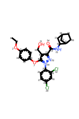 CCOc1ccc(Oc2c(CO)c(C(=O)NC3CC4CCC3C4)nn2-c2ccc(Cl)cc2Cl)cc1